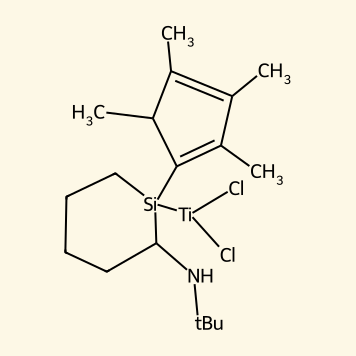 CC1=C(C)C(C)C([Si]2([Ti]([Cl])[Cl])CCCCC2NC(C)(C)C)=C1C